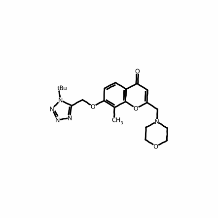 Cc1c(OCc2nnnn2C(C)(C)C)ccc2c(=O)cc(CN3CCOCC3)oc12